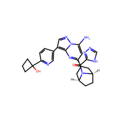 Nc1cc([C@H]2C[C@H]3CC[C@@H](C2)N3C(=O)c2nnc[nH]2)nc2c(-c3ccc(C4(O)CCC4)nc3)cnn12